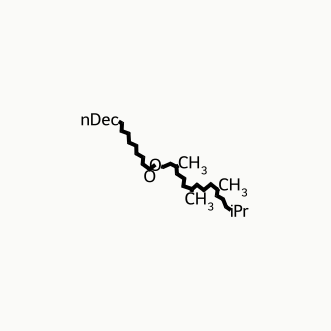 CCCCCCCCCCCCCCCCCCC(=O)OCCC(C)CCCC(C)CCCC(C)CCCC(C)C